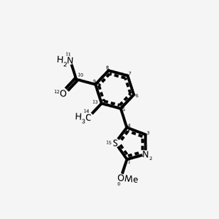 COc1ncc(-c2cccc(C(N)=O)c2C)s1